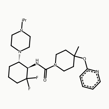 CC(C)N1CCN([C@H]2CCCC(F)(F)[C@@H]2NC(=O)N2CCC(C)(Oc3ccccn3)CC2)CC1